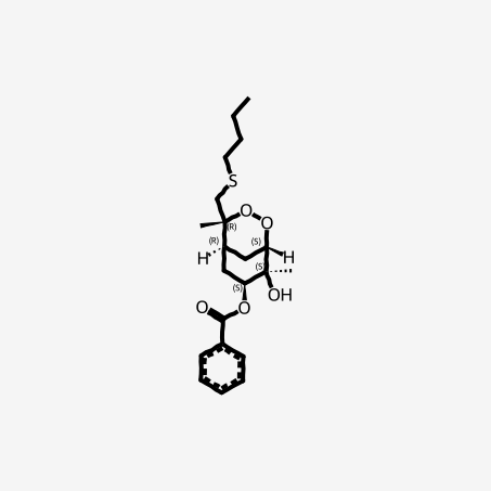 CCCCSC[C@]1(C)OO[C@H]2C[C@H]1C[C@H](OC(=O)c1ccccc1)[C@]2(C)O